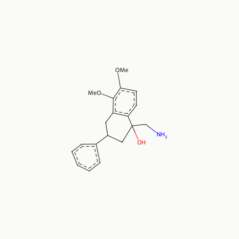 COc1ccc2c(c1OC)CC(c1ccccc1)CC2(O)CN